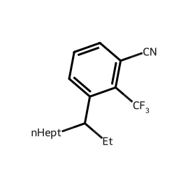 CCCCCCCC(CC)c1cccc(C#N)c1C(F)(F)F